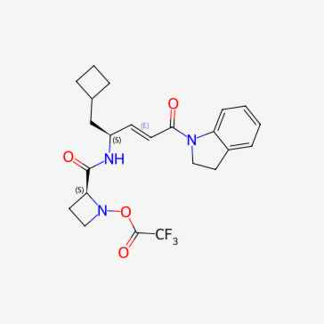 O=C(N[C@H](/C=C/C(=O)N1CCc2ccccc21)CC1CCC1)[C@@H]1CCN1OC(=O)C(F)(F)F